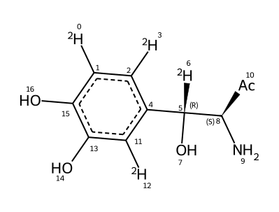 [2H]c1c([2H])c([C@@]([2H])(O)[C@H](N)C(C)=O)c([2H])c(O)c1O